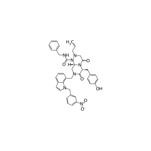 C=CCN1CC(=O)N2[C@@H](Cc3ccc(O)cc3)C(=O)N(Cc3cccc4ccn(Cc5cccc([N+](=O)[O-])c5)c34)C[C@@H]2N1C(=O)NCc1ccccc1